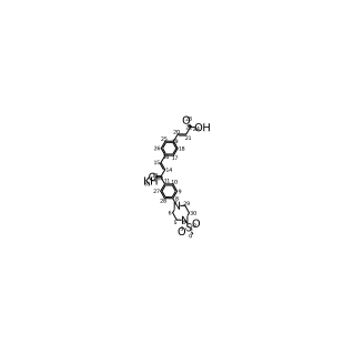 CS(=O)(=O)N1CCN(c2ccc(C(=O)C=Cc3ccc(C=CC(=O)O)cc3)cc2)CC1.[KH]